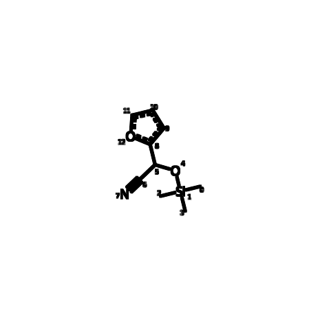 C[Si](C)(C)OC(C#N)c1ccco1